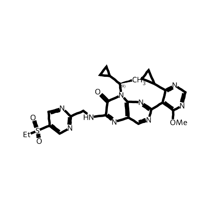 CCS(=O)(=O)c1cnc(CNc2nc3cnc(-c4c(OC)ncnc4C4CC4)nc3n([C@H](C)C3CC3)c2=O)nc1